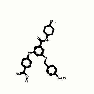 CCOC(=N)c1ccc(Oc2cc(OCc3ccc(C(=O)OCC)cc3)cc(C(=O)NC3CCC(N)CC3)c2)cc1